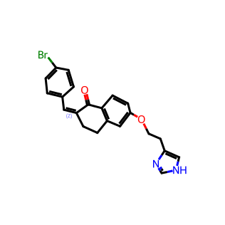 O=C1/C(=C\c2ccc(Br)cc2)CCc2cc(OCCc3c[nH]cn3)ccc21